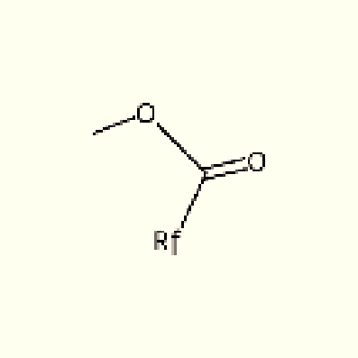 CO[C](=O)[Rf]